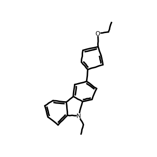 CCOc1ccc(-c2ccc3c(c2)c2ccccc2n3CC)cc1